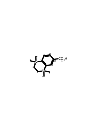 C[Si]1(C)CC[Si](C)(C)c2cc(C(=O)O)ccc21